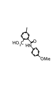 COc1ccc(NC(=O)c2cc(C)ccc2C(=O)O)cc1